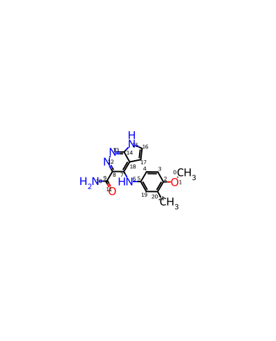 COc1ccc(Nc2c(C(N)=O)nnc3[nH]ccc23)cc1C